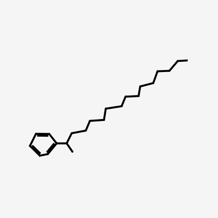 CCCCCCCCCCCCCCC(C)c1c[c]ccc1